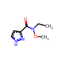 CCN(OC)C(=O)c1cc[nH]n1